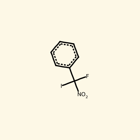 O=[N+]([O-])C(F)(I)c1ccccc1